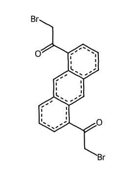 O=C(CBr)c1cccc2cc3c(C(=O)CBr)cccc3cc12